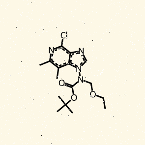 CCOCN(C(=O)OC(C)(C)C)n1cnc2c(Cl)nc(C)c(C)c21